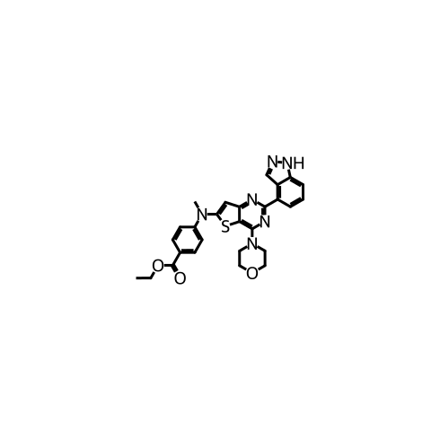 CCOC(=O)c1ccc(N(C)c2cc3nc(-c4cccc5[nH]ncc45)nc(N4CCOCC4)c3s2)cc1